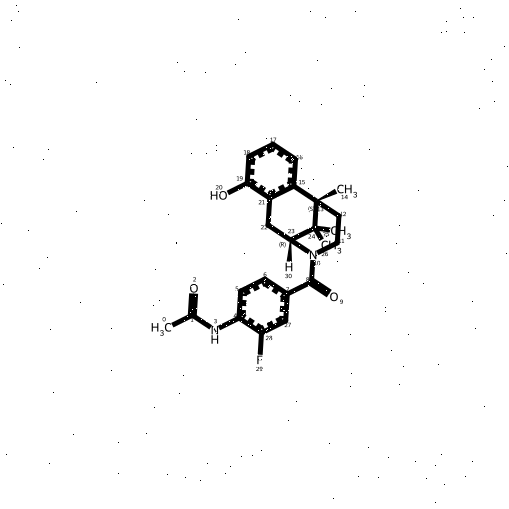 CC(=O)Nc1ccc(C(=O)N2CC[C@@]3(C)c4cccc(O)c4C[C@@H]2C3(C)C)cc1F